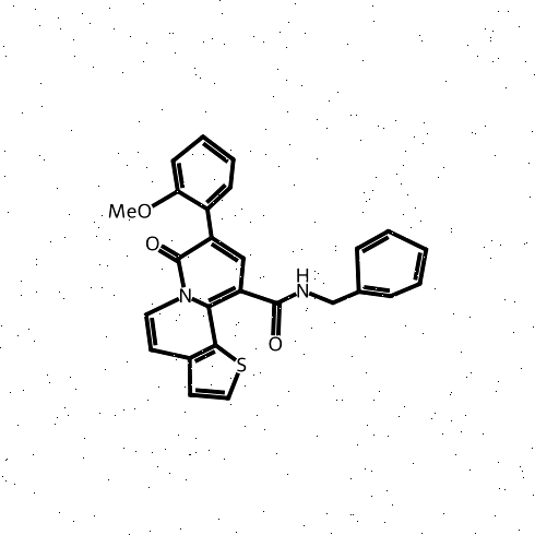 COc1ccccc1-c1cc(C(=O)NCc2ccccc2)c2c3sccc3ccn2c1=O